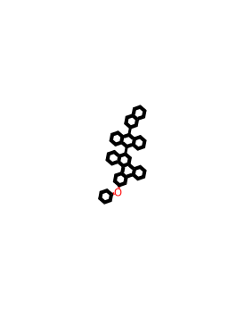 c1ccc(Oc2ccc3c(c2)c2ccccc2c2cc(-c4c5ccccc5c(-c5ccc6ccccc6c5)c5ccccc45)c4ccccc4c32)cc1